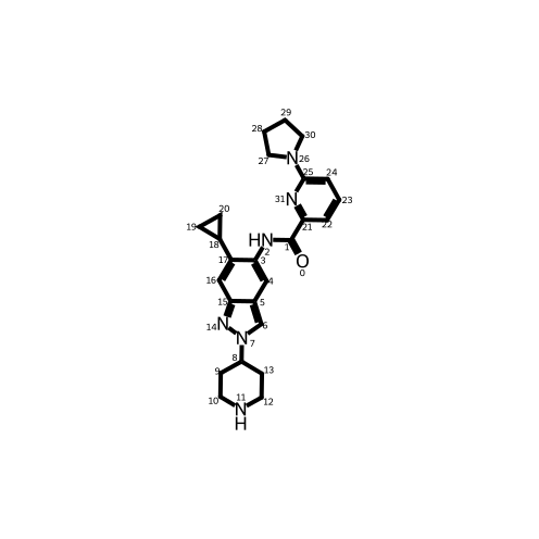 O=C(Nc1cc2cn(C3CCNCC3)nc2cc1C1CC1)c1cccc(N2CCCC2)n1